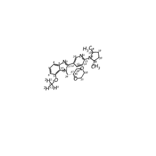 [2H]C([2H])([2H])Oc1cccc2nc(-c3ccc(N4[C@@H](C)CC[C@@H]4C)nc3)n(C[C@@H]3COCCO3)c12